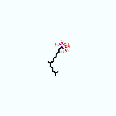 CC(C)=CCCC(C)=CCCCCCC(P(=O)(O)O)P(=O)(O)O